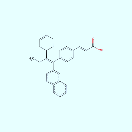 CC/C(=C(/c1ccc(/C=C/C(=O)O)cc1)c1ccc2ccccc2c1)C1C=CC=CC1